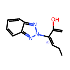 C=C(O)/C(=C\CC)n1nc2ccccc2n1